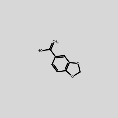 C=C(O)c1ccc2c(c1)OCO2